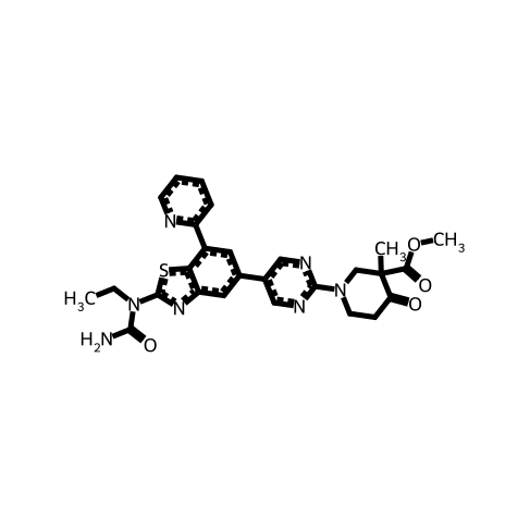 CCN(C(N)=O)c1nc2cc(-c3cnc(N4CCC(=O)C(C)(C(=O)OC)C4)nc3)cc(-c3ccccn3)c2s1